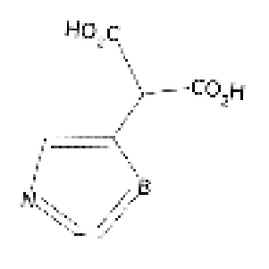 O=C(O)C(C(=O)O)c1bccnc1